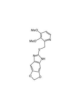 COc1ccnc(CSc2nc3cc4c(cc3[nH]2)OCO4)c1OC